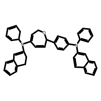 C1=CCC(N(C2=CCOC(c3ccc(N(c4ccccc4)c4ccc5ccccc5c4)cc3)C=C2)C2=Cc3ccccc3CC2)C=C1